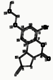 C=C1CC2C(=O)Oc3c(Br)cc(OCOC)cc3C2C1